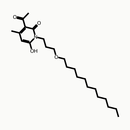 CCCCCCCCCCCCOCCCn1c(O)cc(C)c(C(C)=O)c1=O